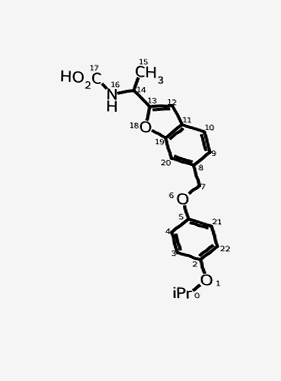 CC(C)Oc1ccc(OCc2ccc3cc(C(C)NC(=O)O)oc3c2)cc1